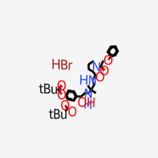 Br.CC(C)(CNC(=O)C1CCCN1C(=O)COc1ccccc1)NCC(O)c1ccc(OC(=O)C(C)(C)C)c(OC(=O)C(C)(C)C)c1